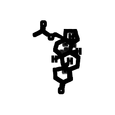 CC(=O)OC[C@@]12CCC[C@H]1[C@@H]1CCC3=CC(=O)CC[C@@H]3[C@H]1CC2